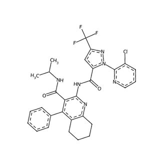 CC(C)NC(=O)c1c(NC(=O)c2cc(C(F)(F)F)nn2-c2ncccc2Cl)nc2c(c1-c1ccccc1)CCCC2